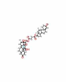 C[C@H]1C[C@@]2(C)C(CC[C@@H]2OC(=O)CCC(=O)OCC(=O)[C@@]2(O)[C@@H](C)CC3C4CCC5=CC(=O)C=C[C@]5(C)[C@@]4(F)[C@@H](O)C[C@@]32C)C2CCC3=CC(=O)CCC3C21